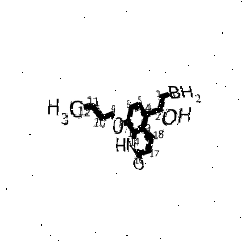 BC[C@H](O)c1ccc(OCCCC)c2[nH]c(=O)ccc12